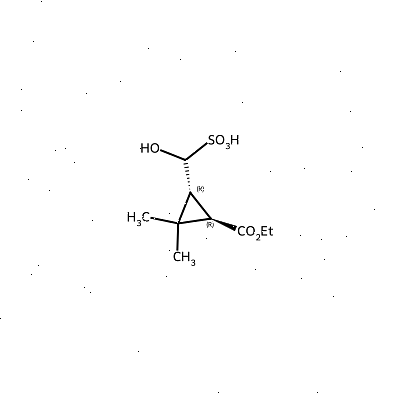 CCOC(=O)[C@@H]1[C@@H](C(O)S(=O)(=O)O)C1(C)C